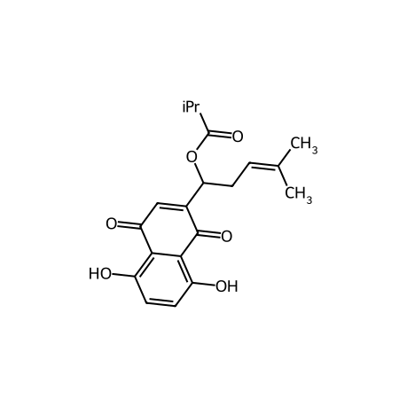 CC(C)=CCC(OC(=O)C(C)C)C1=CC(=O)c2c(O)ccc(O)c2C1=O